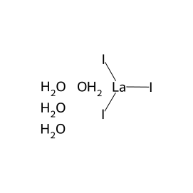 O.O.O.O.[I][La]([I])[I]